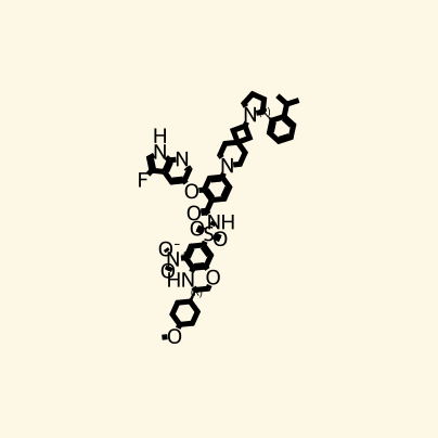 COC1CCC([C@@H]2COc3cc(S(=O)(=O)NC(=O)c4ccc(N5CCC6(CC5)CC(N5CCC[C@@H]5c5ccccc5C(C)C)C6)cc4Oc4cnc5[nH]cc(F)c5c4)cc([N+](=O)[O-])c3N2)CC1